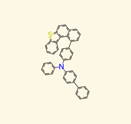 c1ccc(-c2ccc(N(c3ccccc3)c3ccc(-c4cccc5ccc6sc7ccccc7c6c45)cc3)cc2)cc1